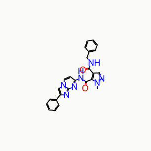 Cn1ncc(C(=O)NCc2ccccc2)c1C(=O)Nc1ccn2cc(-c3ccccc3)nc2n1